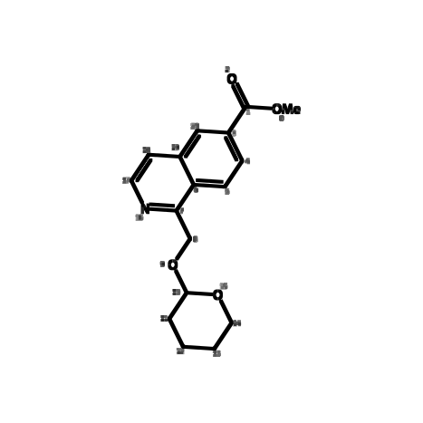 COC(=O)c1ccc2c(COC3CCCCO3)nccc2c1